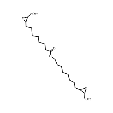 CCCCCCCCC1OC1CCCCCCCCOC(=O)CCCCCCCC1OC1CCCCCCCC